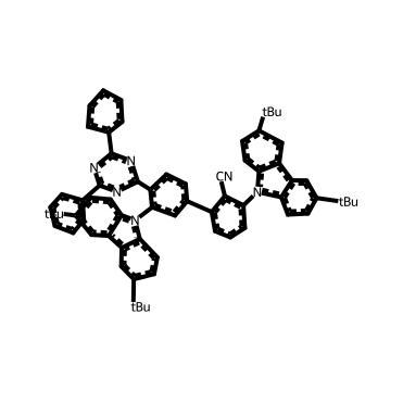 CC(C)(C)c1ccc2c(c1)c1cc(C(C)(C)C)ccc1n2-c1cc(-c2cccc(-n3c4ccc(C(C)(C)C)cc4c4cc(C(C)(C)C)ccc43)c2C#N)ccc1-c1nc(-c2ccccc2)nc(-c2ccccc2)n1